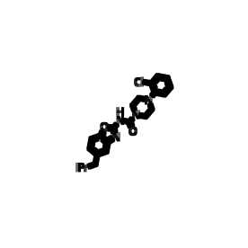 CC(C)Cc1ccc2oc(NC(=O)N3CCN(c4ccccc4Cl)CC3)nc2c1